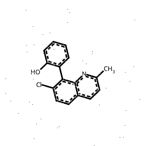 Cc1ccc2ccc(Cl)c(-c3ccccc3O)c2n1